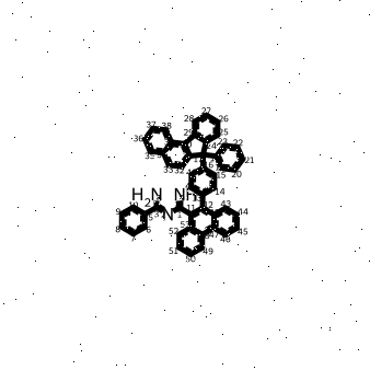 N=C(/N=C(\N)c1ccccc1)c1c(-c2ccc(C3(c4ccccc4)c4ccccc4-c4c3ccc3ccccc43)cc2)c2ccccc2c2ccccc12